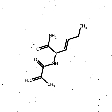 C=C(C)C(=O)NN(C=CCC)C(N)=O